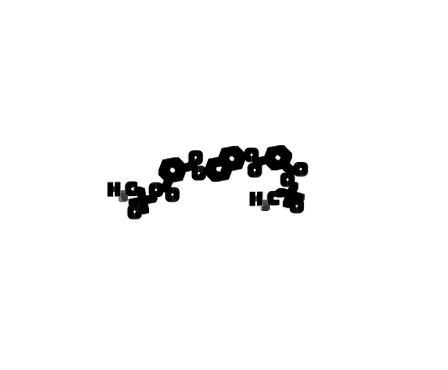 CCC1(COC(=O)c2cccc(C(=O)Oc3ccc4cc(OC(=O)c5cccc(C(=O)OCC6(CC)COC6)c5)ccc4c3)c2)COC1